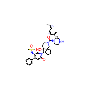 C=C(/C=C\C=C/C)[C@@H]1CNCCN1C(=O)N1CCC(O)(Cn2cc(N=S(C)(C)=O)c(-c3ccccc3)cc2=O)C2(CCCC2)C1